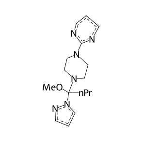 [CH2]CCC(OC)(N1CCN(c2ncccn2)CC1)n1cccn1